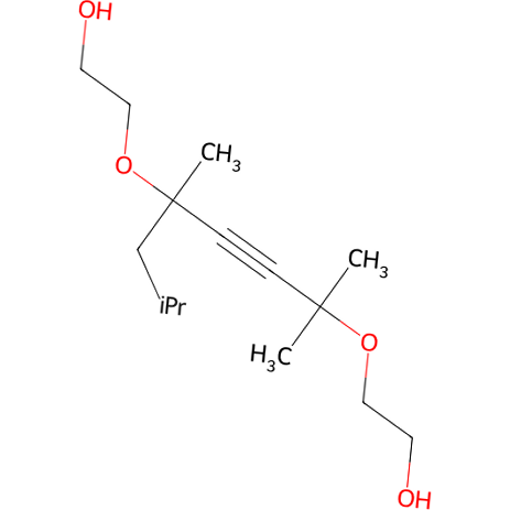 CC(C)CC(C)(C#CC(C)(C)OCCO)OCCO